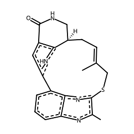 C/C1=C\C[C@@H]2CNC(=O)c3cc([nH]c32)-c2cccc3nc(C)c(nc23)SC1